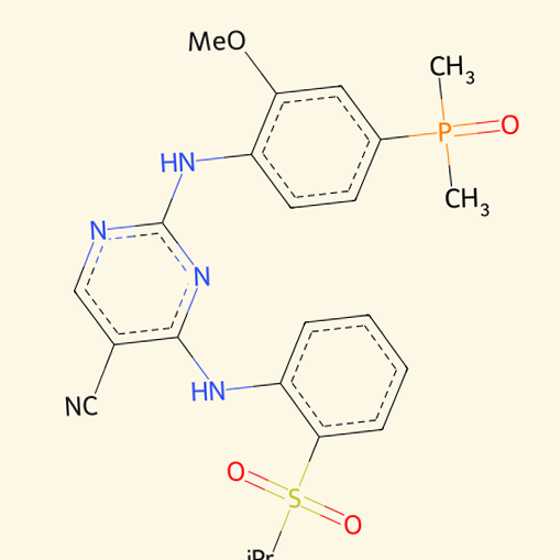 COc1cc(P(C)(C)=O)ccc1Nc1ncc(C#N)c(Nc2ccccc2S(=O)(=O)C(C)C)n1